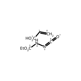 C=CC(=O)O.CCOC(=O)NN=C=O